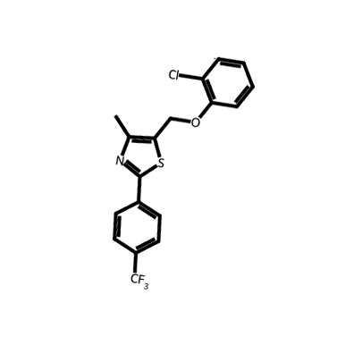 Cc1nc(-c2ccc(C(F)(F)F)cc2)sc1COc1ccc[c]c1Cl